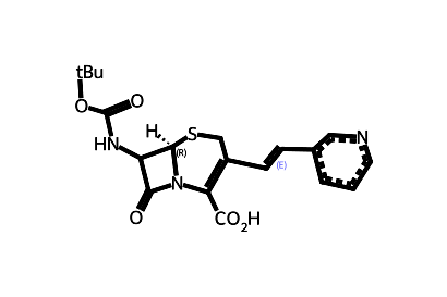 CC(C)(C)OC(=O)NC1C(=O)N2C(C(=O)O)=C(/C=C/c3cccnc3)CS[C@H]12